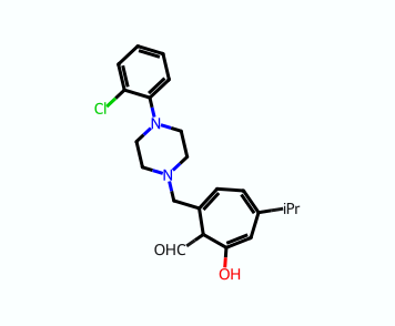 CC(C)C1=CC=C(CN2CCN(c3ccccc3Cl)CC2)C(C=O)C(O)=C1